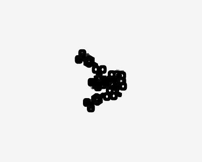 COP(OC)(OC)=C(C(=O)O)N1C(=O)C(C(C)OC(=O)OCc2ccc([N+](=O)[O-])cc2)C1CC(=O)SC1CN(C(=O)OCc2ccc([N+](=O)[O-])cc2)CC1S(C)(=O)=O